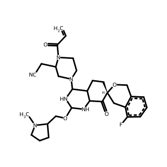 C=CC(=O)N1CCN(C2NC(OCC3CCCN3C)NC3C(=O)[C@@]4(CCC32)Cc2c(F)cccc2CO4)CC1CC#N